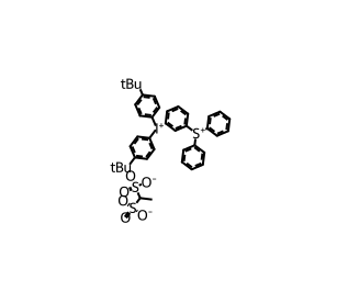 CC(C)(C)c1ccc([I+]c2ccc(C(C)(C)C)cc2)cc1.CC(S(=O)(=O)[O-])S(=O)(=O)[O-].c1ccc([S+](c2ccccc2)c2ccccc2)cc1